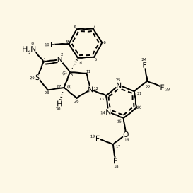 NC1=N[C@@]2(c3ccccc3F)CN(c3nc(OC(F)F)cc(C(F)F)n3)C[C@H]2CS1